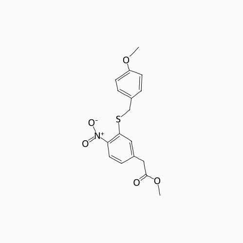 COC(=O)Cc1ccc([N+](=O)[O-])c(SCc2ccc(OC)cc2)c1